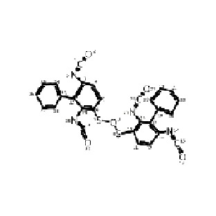 O=C=Nc1ccc(SOSc2ccc(N=C=O)c(-c3ccccc3)c2N=C=O)c(N=C=O)c1-c1ccccc1